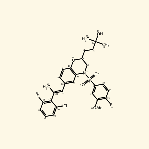 COc1cc(S(=O)(=O)N2CC(CCC(C)(C)O)Oc3ccc(C=C(C)c4c(F)cccc4Cl)cc32)ccc1F